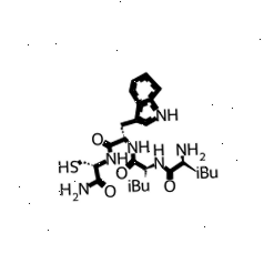 CC[C@H](C)[C@H](N)C(=O)N[C@H](C(=O)N[C@@H](Cc1c[nH]c2ccccc12)C(=O)N[C@@H](CS)C(N)=O)[C@@H](C)CC